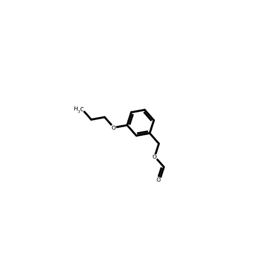 CCCOc1cccc(COC=O)c1